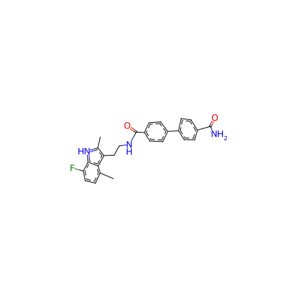 Cc1[nH]c2c(F)ccc(C)c2c1CCNC(=O)c1ccc(-c2ccc(C(N)=O)cc2)cc1